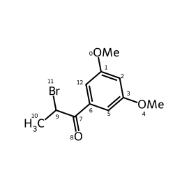 COc1cc(OC)cc(C(=O)C(C)Br)c1